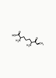 C=CC(=O)C(N)CCCC(N)C(=O)O